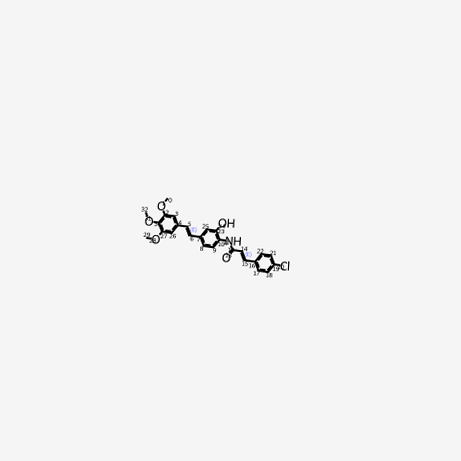 COc1cc(/C=C/c2ccc(NC(=O)/C=C/c3ccc(Cl)cc3)c(O)c2)cc(OC)c1OC